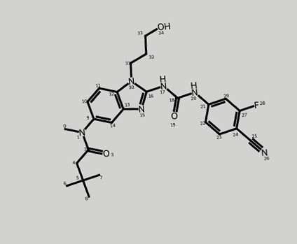 CN(C(=O)CC(C)(C)C)c1ccc2c(c1)nc(NC(=O)Nc1ccc(C#N)c(F)c1)n2CCCO